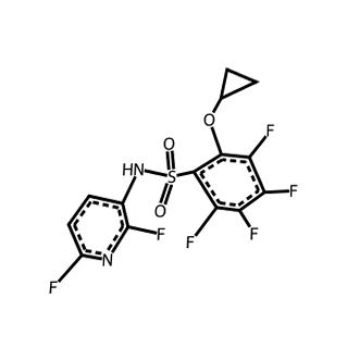 O=S(=O)(Nc1ccc(F)nc1F)c1c(F)c(F)c(F)c(F)c1OC1CC1